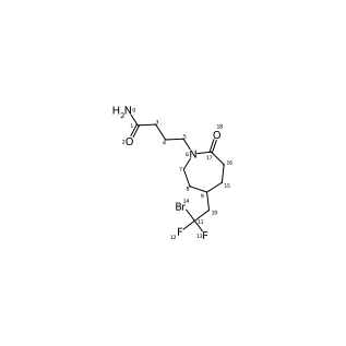 NC(=O)CCCN1CCC(CC(F)(F)Br)CCC1=O